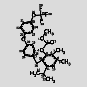 COC(=O)Oc1c(C)c(C)nc(C(C)C)c1Cc1ccc(Oc2ccc(OC(F)(F)F)cc2)cc1